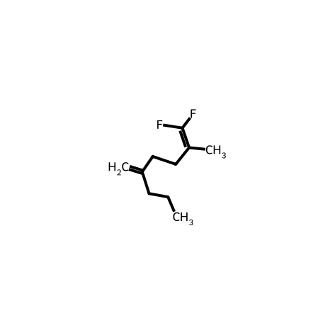 C=C(CCC)CCC(C)=C(F)F